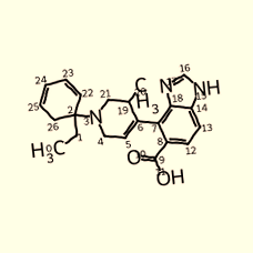 CCC1(N2CC=C(c3c(C(=O)O)ccc4[nH]cnc34)C(C)C2)C=CC=CC1